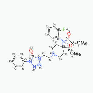 COC(=O)C1(N(C(=O)C(C)OC)c2ccccc2F)CCN(CCn2nnn(-c3ccccc3)c2=O)CC1